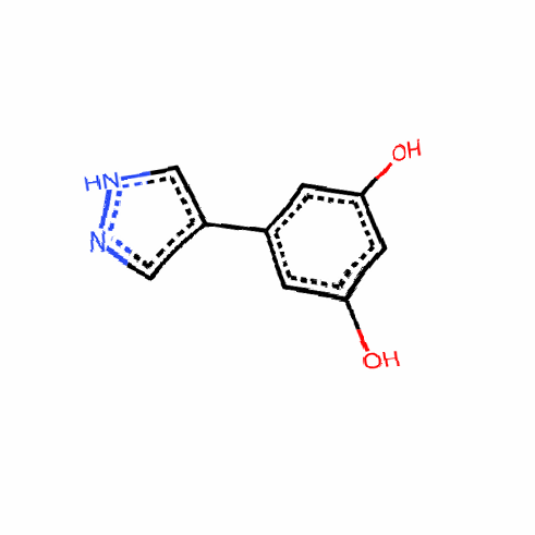 Oc1cc(O)cc(-c2cn[nH]c2)c1